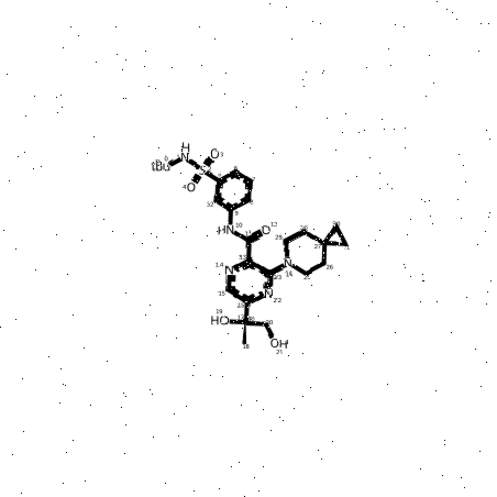 CC(C)(C)NS(=O)(=O)c1cccc(NC(=O)c2ncc([C@@](C)(O)CO)nc2N2CCC3(CC2)CC3)c1